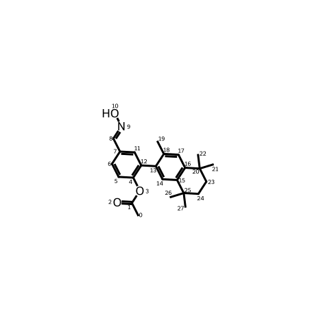 CC(=O)Oc1ccc(C=NO)cc1-c1cc2c(cc1C)C(C)(C)CCC2(C)C